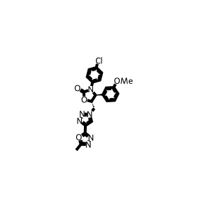 COc1cccc([C@H]2[C@H](Cn3cc(-c4nnc(C)o4)nn3)OC(=O)N2c2ccc(Cl)cc2)c1